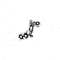 O=C1[N]C2(CCN(C(=O)c3ccc(-c4ccccc4)cc3)CC2)NC1Cc1ccccc1